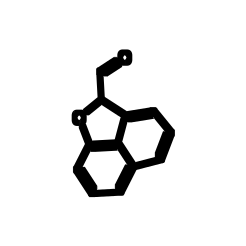 O=CC1Oc2cccc3cccc1c23